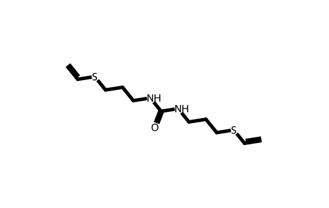 C=CSCCCNC(=O)NCCCSC=C